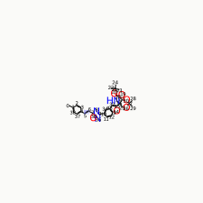 Cc1ccc(/C=C/c2nc(-c3ccc4oc(C5(NC(=O)OC(C)(C)C)COC(C)(C)OC5)cc4c3)no2)cc1